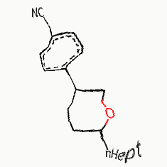 CCCCCCCC1CCC(c2ccc(C#N)cc2)CO1